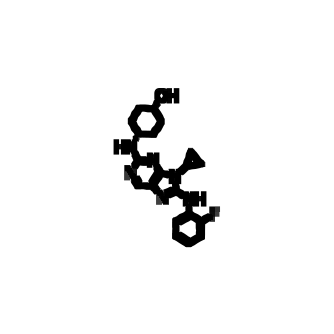 O[C@H]1CC[C@H](Nc2ncc3nc(Nc4ccccc4F)n(C4CC4)c3n2)CC1